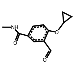 CNC(=O)c1ccc(OC2CC2)c(C=O)c1